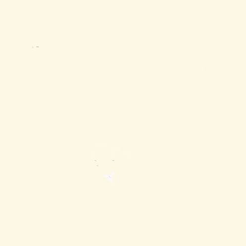 CCCCCC=CCC=CCCCCCCCC(=O)O[C@@H]1CN(Cc2ccccc2)C[C@H]1OC(=O)CCCCCCCC=CCC=CCCCCC